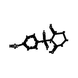 O=C(O)c1ccc(S(=O)(=O)N2C(=O)CCCC2=O)cc1